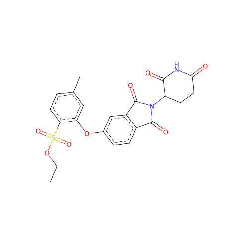 CCOS(=O)(=O)c1ccc(C)cc1Oc1ccc2c(c1)C(=O)N(C1CCC(=O)NC1=O)C2=O